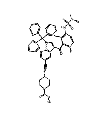 CCN(C)S(=O)(=O)Nc1ccc(F)c(C(=O)c2cn(C(c3ccccc3)(c3ccccc3)c3ccccc3)c3ncc(C#CC4CCN(C(=O)OC(C)(C)C)CC4)cc23)c1F